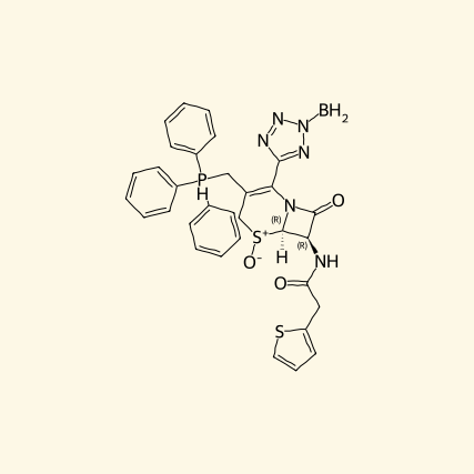 Bn1nnc(C2=C(C[PH](c3ccccc3)(c3ccccc3)c3ccccc3)C[S+]([O-])[C@@H]3[C@H](NC(=O)Cc4cccs4)C(=O)N23)n1